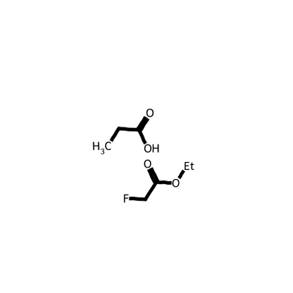 CCC(=O)O.CCOC(=O)CF